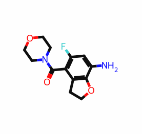 Nc1cc(F)c(C(=O)N2CCOCC2)c2c1OCC2